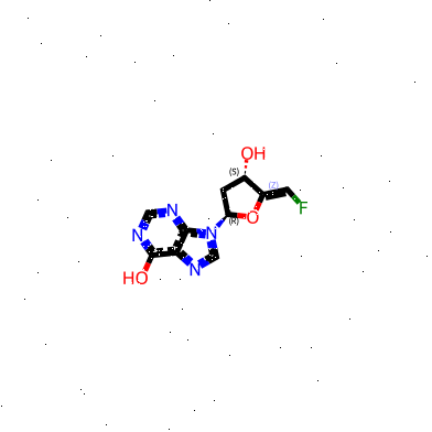 Oc1ncnc2c1ncn2[C@H]1C[C@H](O)/C(=C/F)O1